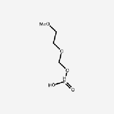 COCCOCO[PH](=O)O